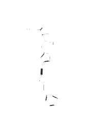 CCOC(=O)C(C)(C(=O)OC)C(N)Cc1cc(C#CCCCc2ccccc2)cs1